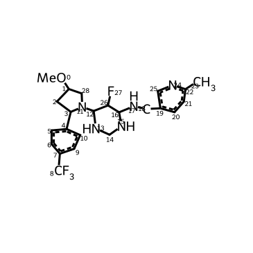 COC1CC(c2ccc(C(F)(F)F)cc2)N(C2NCNC(NCc3ccc(C)nc3)C2F)C1